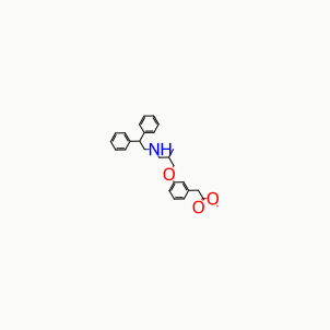 COC(=O)Cc1cccc(OCC(C)CNCC(c2ccccc2)c2ccccc2)c1